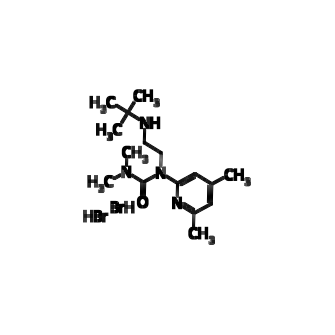 Br.Br.Cc1cc(C)nc(N(CCNC(C)(C)C)C(=O)N(C)C)c1